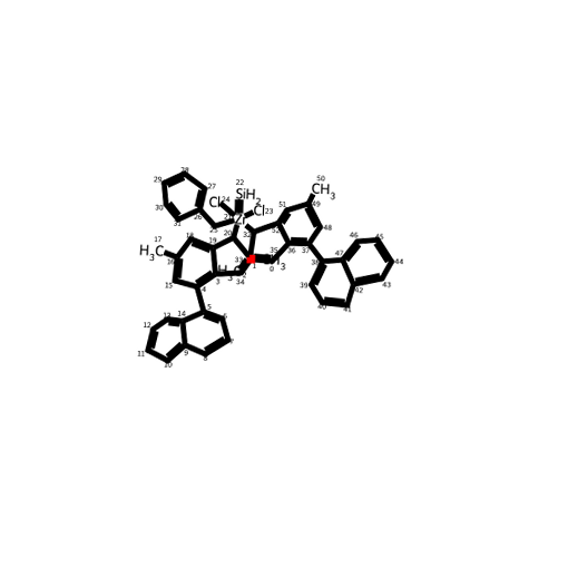 CC1=Cc2c(-c3cccc4ccccc34)cc(C)cc2[CH]1[Zr](=[SiH2])([Cl])([Cl])([CH2]c1ccccc1)[CH]1C(C)=Cc2c(-c3cccc4ccccc34)cc(C)cc21